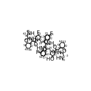 CN[C@@H](C)C(=O)N[C@H](C(=O)N1C[C@@H](O)C[C@H]1Cc1c(-c2[nH]c3cc(F)ccc3c2C[C@@H]2C[C@H](F)CN2C(=O)[C@@H](NC(=O)[C@H](C)NC)C2CCCCC2)[nH]c2c(F)cccc12)C1CCCCC1